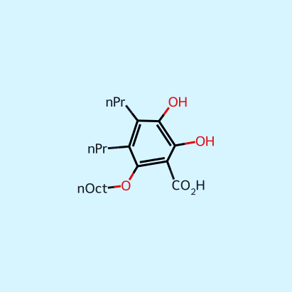 CCCCCCCCOc1c(CCC)c(CCC)c(O)c(O)c1C(=O)O